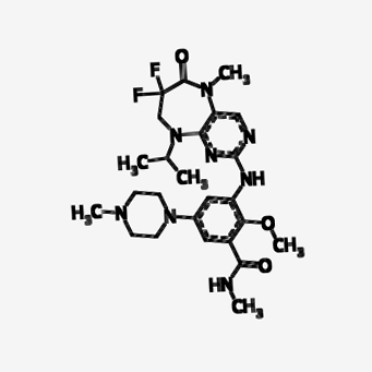 CNC(=O)c1cc(N2CCN(C)CC2)cc(Nc2ncc3c(n2)N(C(C)C)CC(F)(F)C(=O)N3C)c1OC